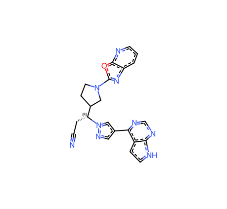 N#CC[C@H](C1CCN(c2nc3cccnc3o2)C1)n1cc(-c2ncnc3[nH]ccc23)cn1